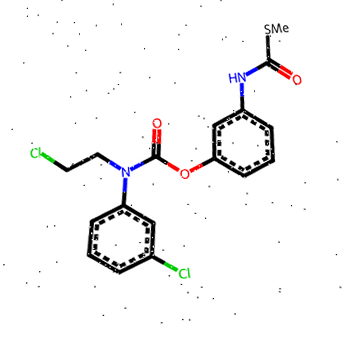 CSC(=O)Nc1cccc(OC(=O)N(CCCl)c2cccc(Cl)c2)c1